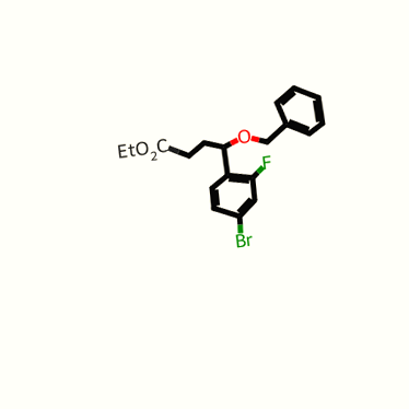 CCOC(=O)CCC(OCc1ccccc1)c1ccc(Br)cc1F